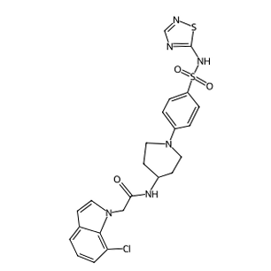 O=C(Cn1ccc2cccc(Cl)c21)NC1CCN(c2ccc(S(=O)(=O)Nc3ncns3)cc2)CC1